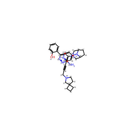 Nc1nnc(-c2ccccc2O)cc1N1CC2CCC(C1)N2c1ccnc(C#CCN2CCC3(CCC3)C2)c1